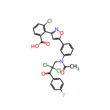 CC(=O)N(CC(Cl)(Cl)C(=O)c1ccc(F)cc1)c1cccc(-c2cc(-c3c(Cl)cccc3C(=O)O)no2)c1